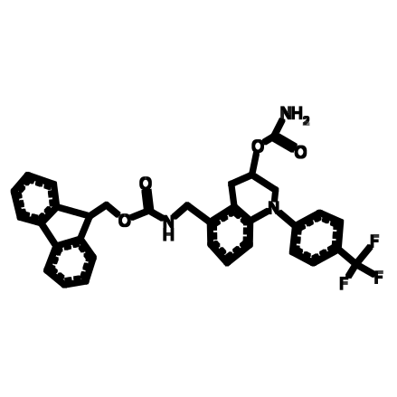 NC(=O)OC1Cc2c(CNC(=O)OCC3c4ccccc4-c4ccccc43)cccc2N(c2ccc(C(F)(F)F)cc2)C1